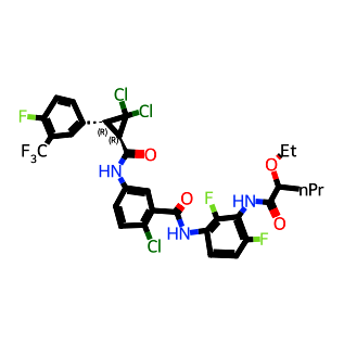 CCCC(OCC)C(=O)Nc1c(F)ccc(NC(=O)c2cc(NC(=O)[C@H]3[C@H](c4ccc(F)c(C(F)(F)F)c4)C3(Cl)Cl)ccc2Cl)c1F